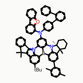 Cc1ccc(C)c(-c2cc3c4c(c2)C2(C)CCCC[C@]2(C)N4c2cc(N(c4ccc(-c5ccccc5-c5ccccc5)cc4)c4cccc5c4oc4ccccc45)cc4c2B3c2cc(C(C)(C)C)cc3c5c(n-4c23)-c2ccccc2C5(C)C)c1